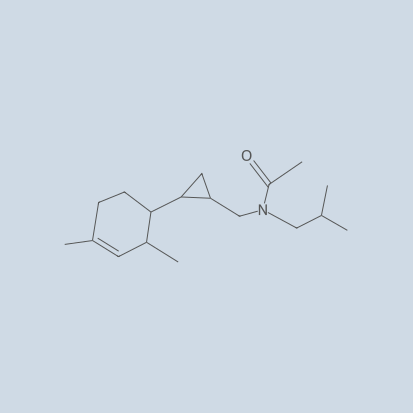 CC(=O)N(CC(C)C)CC1CC1C1CCC(C)=CC1C